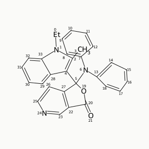 CCn1c(C)c(C2(N(c3ccccc3)c3ccccc3)OC(=O)c3cnccc32)c2ccccc21